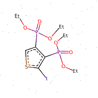 CCOP(=O)(OCC)c1csc(I)c1P(=O)(OCC)OCC